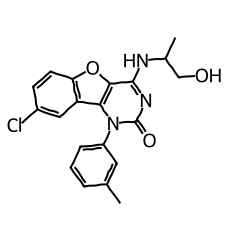 Cc1cccc(-n2c(=O)nc(NC(C)CO)c3oc4ccc(Cl)cc4c32)c1